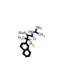 CNC(C(=O)NC(C)C(C)(C)C)C(C)(C)c1ccc2ccccc2c1